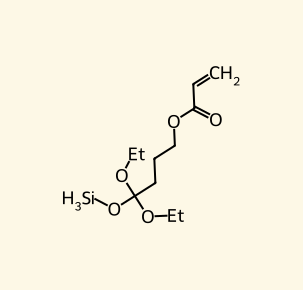 C=CC(=O)OCCCC(O[SiH3])(OCC)OCC